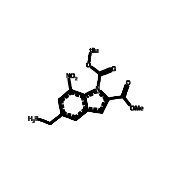 BCc1cc([N+](=O)[O-])c2c(c1)cc(C(=O)OC)n2C(=O)OC(C)(C)C